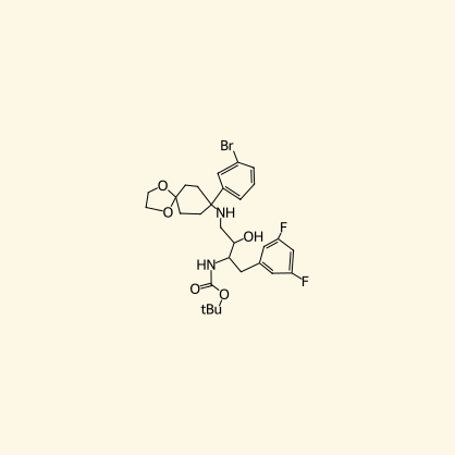 CC(C)(C)OC(=O)NC(Cc1cc(F)cc(F)c1)C(O)CNC1(c2cccc(Br)c2)CCC2(CC1)OCCO2